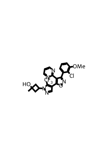 COc1cccc(-c2noc(-c3cnn(C4CC(C)(O)C4)c3C(F)(F)F)c2-c2ncccn2)c1Cl